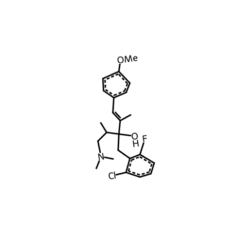 COc1ccc(C=C(C)C(O)(Cc2c(F)cccc2Cl)C(C)CN(C)C)cc1